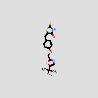 CC(C)(C)c1cnc(COc2ccc(C=C3SC(=S)NC3=O)cc2)o1